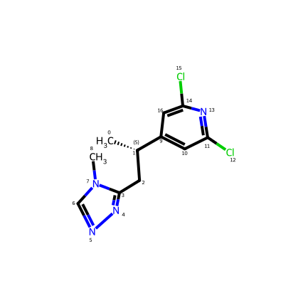 C[C@@H](Cc1nncn1C)c1cc(Cl)nc(Cl)c1